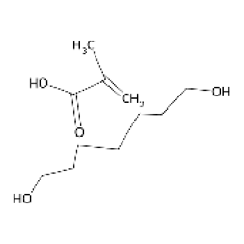 C=C(C)C(=O)O.OCCCCCCCO